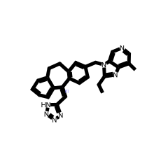 CCc1nc2c(C)cncc2n1Cc1ccc2c(c1)CCc1ccccc1/C2=C\c1nnn[nH]1